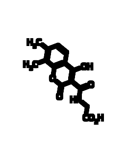 Cc1ccc2c(O)c(C(=O)NCC(=O)O)c(=O)oc2c1C